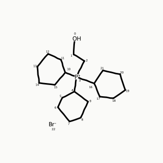 OCC[P+](C1CCCCC1)(C1CCCCC1)C1CCCCC1.[Br-]